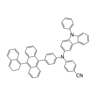 N#Cc1ccc(N(c2ccc(-c3c4ccccc4c(C4=c5ccccc5=CCC4)c4ccccc34)cc2)c2ccc3c(c2)c2ccccc2n3-c2ccccc2)cc1